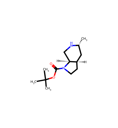 C[C@@H]1C[C@H]2CCN(C(=O)OC(C)(C)C)[C@H]2CN1